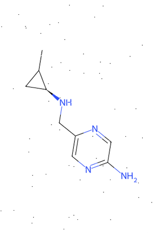 CC1C[C@@H]1NCc1cnc(N)cn1